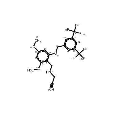 C#CCNCc1c(OC)cc(OC)cc1OCc1cc(C(F)(F)F)cc(C(F)(F)F)c1